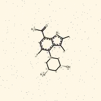 Cc1[nH]c2c(C(N)=O)cc(F)c(N3C[C@@H](N)C[C@@H](O)C3)c2c1C